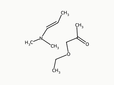 CC=CN(C)C.CCOCC(C)=O